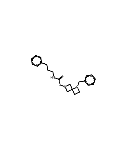 O=C(NCCCc1ccccc1)ON1CC2(CCN2Cc2ccccc2)C1